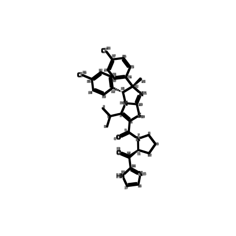 CC(C)C1=C(C(=O)N2CCC[C@H]2C(=O)c2ncc[nH]2)SC2=N[C@@](C)(c3ccc(Cl)cc3)[C@@H](c3ccc(Cl)cc3)N21